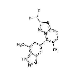 Cc1cc(-c2c(C(F)(F)F)ccc3nc(C(F)F)nn23)cc2cn[nH]c12